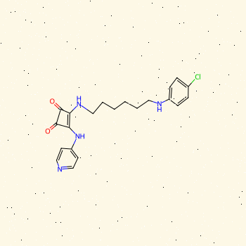 O=c1c(NCCCCCCNc2ccc(Cl)cc2)c(Nc2ccncc2)c1=O